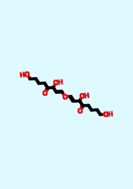 O=C(CCCCO)C(O)C=COC=CC(O)C(=O)CCCCO